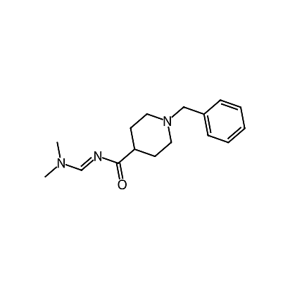 CN(C)C=NC(=O)C1CCN(Cc2ccccc2)CC1